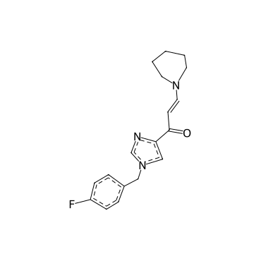 O=C(C=CN1CCCCC1)c1cn(Cc2ccc(F)cc2)cn1